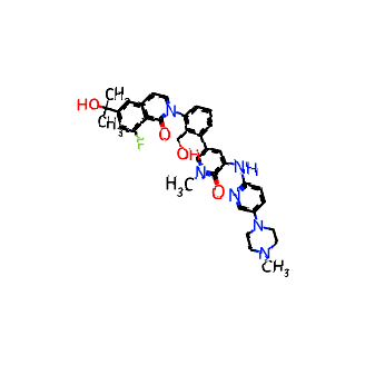 CN1CCN(c2ccc(Nc3cc(-c4cccc(-n5ccc6cc(C(C)(C)O)cc(F)c6c5=O)c4CO)cn(C)c3=O)nc2)CC1